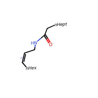 CCCCCC/C=C\CNC(=O)CCCCCCCC